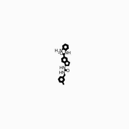 Cc1cccc(CNC(=O)NC2CCc3cc(C(=O)Nc4ccccc4N)ccc32)c1